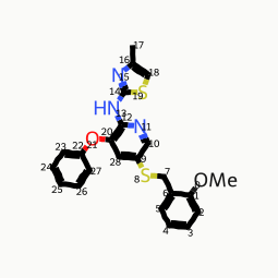 COc1ccccc1CSc1cnc(Nc2nc(C)cs2)c(Oc2ccccc2)c1